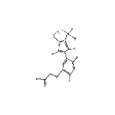 COn1c(Cl)c(-c2cc(OCC(=O)O)c(Cl)cc2F)c(Cl)c1C(F)(F)F